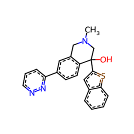 CN1Cc2cc(-c3cccnn3)ccc2C(O)(c2cc3ccccc3s2)C1